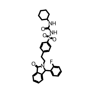 O=C(NC1CCCCC1)NS(=O)(=O)c1ccc(CCN2C(=O)c3ccccc3C2c2ccccc2F)cc1